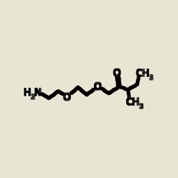 CCC(C)C(=O)COCCOCCN